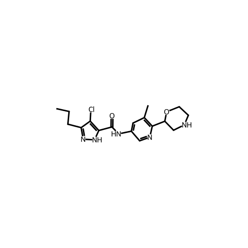 CCCc1n[nH]c(C(=O)Nc2cnc(C3CNCCO3)c(C)c2)c1Cl